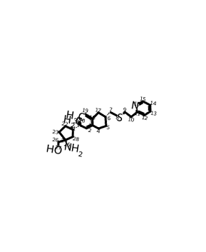 C=C(/C=C1/CC[C@@H](CSCCc2ccccn2)C/C1=C/C)[C@H]1CC[C@](N)(CO)C1